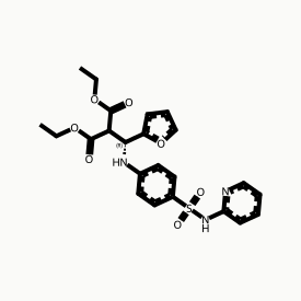 CCOC(=O)C(C(=O)OCC)[C@@H](Nc1ccc(S(=O)(=O)Nc2ccccn2)cc1)c1ccco1